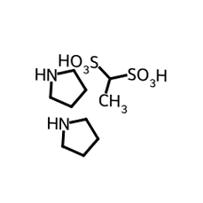 C1CCNC1.C1CCNC1.CC(S(=O)(=O)O)S(=O)(=O)O